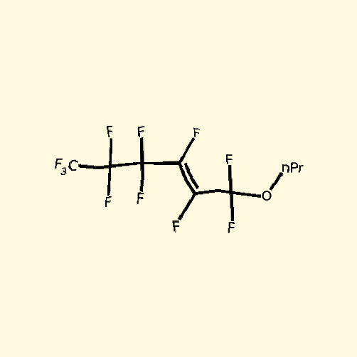 CCCOC(F)(F)C(F)=C(F)C(F)(F)C(F)(F)C(F)(F)F